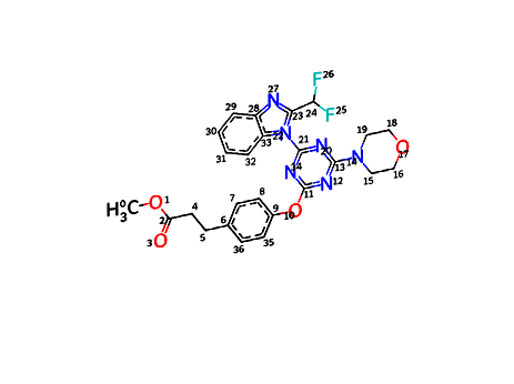 COC(=O)CCc1ccc(Oc2nc(N3CCOCC3)nc(-n3c(C(F)F)nc4ccccc43)n2)cc1